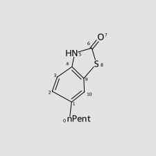 CCCCCc1ccc2[nH]c(=O)sc2c1